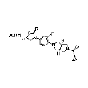 CC(=O)NC[C@H]1CN(c2ccc(N3C[C@H]4CN(C(=O)C5CC5)C[C@H]4C3)c(F)c2)C(=O)O1